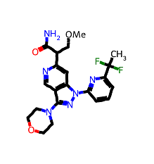 COCC(C(N)=O)c1cc2c(cn1)c(N1CCOCC1)nn2-c1cccc(C(C)(F)F)n1